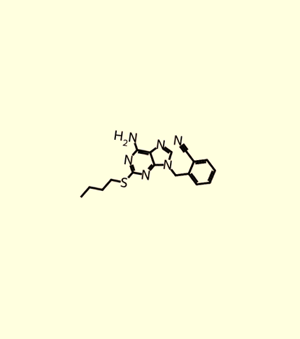 CCCCSc1nc(N)c2ncn(Cc3ccccc3C#N)c2n1